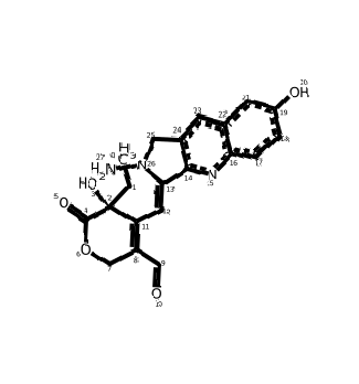 CC[C@@]1(O)C(=O)OCC(C=O)=C1/C=C1/c2nc3ccc(O)cc3cc2CN1N